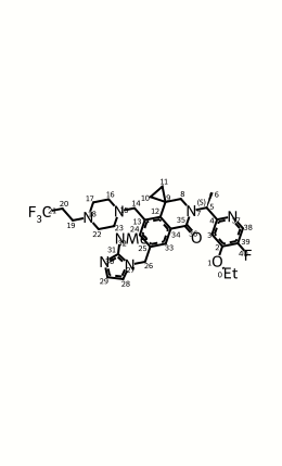 CCOc1cc([C@H](C)N2CC3(CC3)c3c(CN4CCN(CCC(F)(F)F)CC4)cc(Cn4ccnc4NC)cc3C2=O)ncc1F